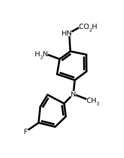 CN(c1ccc(F)cc1)c1ccc(NC(=O)O)c(N)c1